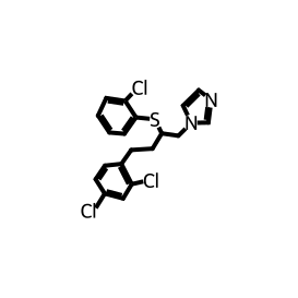 Clc1ccc(CCC(Cn2ccnc2)Sc2ccccc2Cl)c(Cl)c1